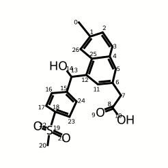 Cc1ccc2cc(CC(=O)O)cc(C(O)c3ccc(S(C)(=O)=O)cc3)c2c1